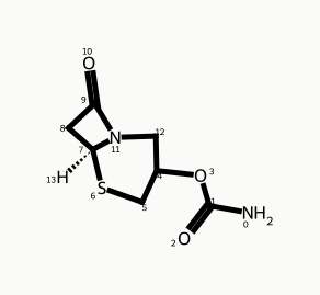 NC(=O)OC1CS[C@H]2CC(=O)N2C1